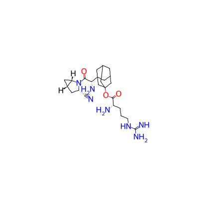 N#C[C@@H]1C[C@@H]2C[C@@H]2N1C(=O)[C@@H](N)C12CC3CC(CC(OC(=O)[C@@H](N)CCCNC(=N)N)(C3)C1)C2